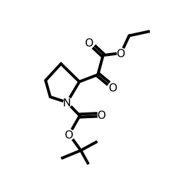 CCOC(=O)C(=O)C1CCCN1C(=O)OC(C)(C)C